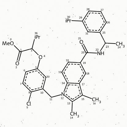 COC(=O)C(Oc1ccc(Cl)c(Cn2c(C)c(C)c3cc(C(=O)NC(C)c4cccc(C(C)C)c4)ccc32)c1)C(C)C